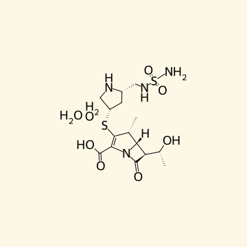 C[C@@H](O)[C@H]1C(=O)N2C(C(=O)O)=C(S[C@@H]3CN[C@H](CNS(N)(=O)=O)C3)[C@H](C)[C@H]12.O.O